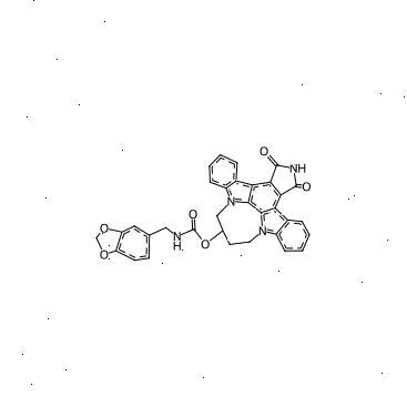 O=C(NCc1ccc2c(c1)OCO2)OC1CCn2c3ccccc3c3c4c(c5c6ccccc6n(c5c32)C1)C(=O)NC4=O